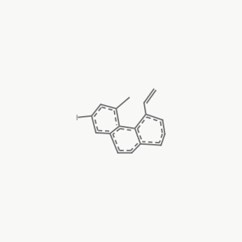 C=Cc1cccc2ccc3cc(I)cc(C)c3c12